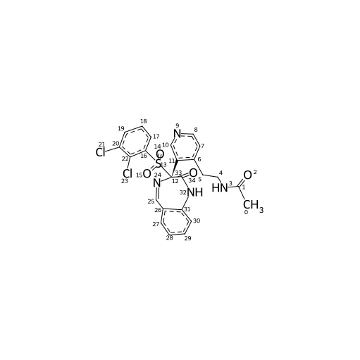 CC(=O)NCCc1ccncc1[C@]1(S(=O)(=O)c2cccc(Cl)c2Cl)N=Cc2ccccc2NC1=O